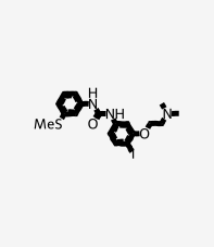 CSc1cccc(NC(=O)Nc2ccc(I)c(OCCN(C)C)c2)c1